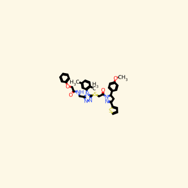 COc1ccc(C2CC(c3cccs3)=NN2C(=O)CSc2nnc(CNC(=O)COc3ccccc3)n2-c2cc(C)ccc2C)cc1